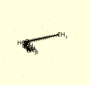 CCCCCCCCCCCCCCCCCCCCCCCCCCCC(=O)O[C@H](CO)COP(=O)(O)OCC[N+](C)(C)C